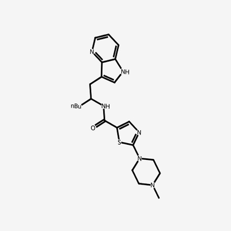 CCCCC(Cc1c[nH]c2cccnc12)NC(=O)c1cnc(N2CCN(C)CC2)s1